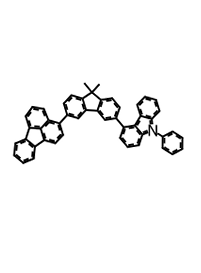 CC1(C)c2ccc(-c3ccc4c5c(cccc35)-c3ccccc3-4)cc2-c2cc(-c3cccc4c3c3ccccc3n4-c3ccccc3)ccc21